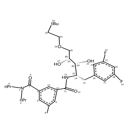 CCCN(CCC)C(=O)c1cc(C)cc(C(=O)N[C@@H](Cc2cc(F)cc(F)c2)[C@@H](O)[C@H](O)COCCC(C)(C)C)c1